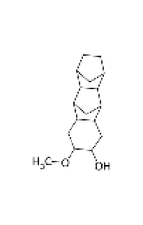 COC1CC2C(CC1O)C1CC2C2C3CCC(C3)C12